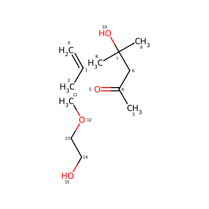 C=CC.CC(=O)CC(C)(C)O.COCCO